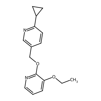 CCOc1cccnc1OCc1ccc(C2CC2)nc1